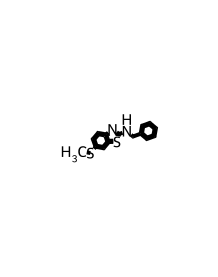 CSc1ccc2nc(NCc3ccccc3)sc2c1